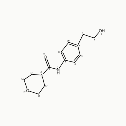 O=C(Nc1ccc(CCO)cc1)N1CCOCC1